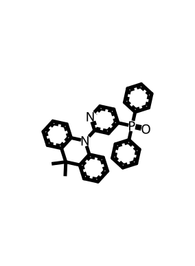 CC1(C)c2ccccc2N(c2cc(P(=O)(c3ccccc3)c3ccccc3)ccn2)c2ccccc21